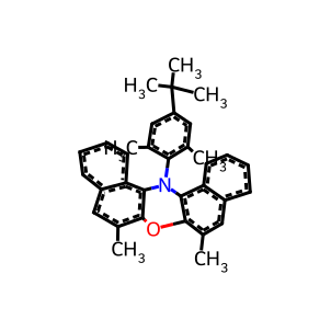 Cc1cc2ccccc2c2c1Oc1c(C)cc3ccccc3c1N2c1c(C)cc(C(C)(C)C)cc1C